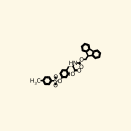 Cc1ccc(S(=O)(=O)Oc2ccc(C[C@H](NC(=O)OCC3c4ccccc4-c4ccccc43)C(=O)O)cc2)cc1